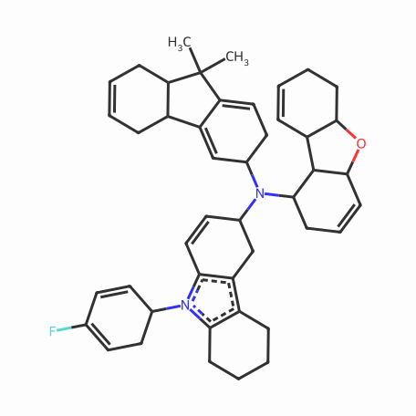 CC1(C)C2=CCC(N(C3C=Cc4c(c5c(n4C4C=CC(F)=CC4)CCCC5)C3)C3CC=CC4OC5CCC=CC5C43)C=C2C2CC=CCC21